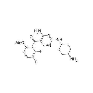 COc1ccc(F)c(F)c1C(=O)c1cnc(N[C@H]2CC[C@H](N)CC2)nc1N